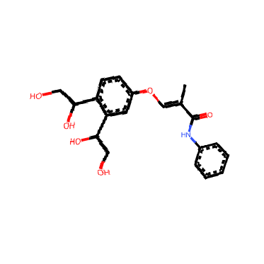 C/C(=C\Oc1ccc(C(O)CO)c(C(O)CO)c1)C(=O)Nc1ccccc1